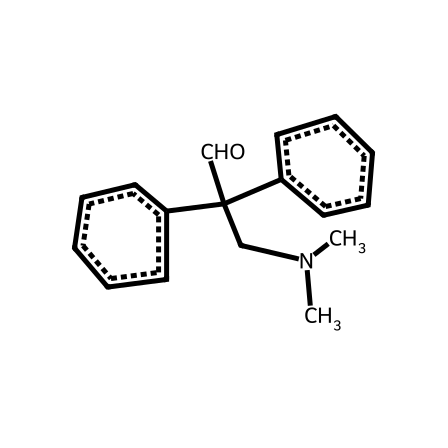 CN(C)CC(C=O)(c1ccccc1)c1ccccc1